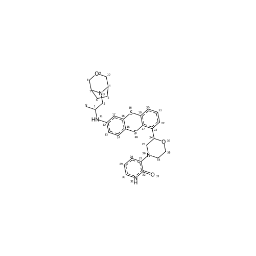 CC(CN1C2CCC1COC2)Nc1ccc2c(c1)Sc1cccc(C3CN(c4ccc[nH]c4=O)CCO3)c1S2